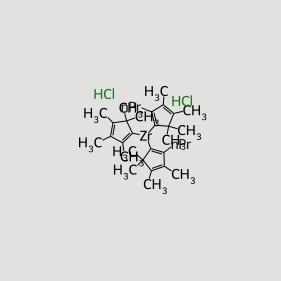 CCCC1=[C]([Zr]([C]2=C(C)C(C)=C(C)C2(C)C)[C]2=C(CCC)C(C)=C(C)C2(C)C)C(C)(C)C(C)=C1C.Cl.Cl